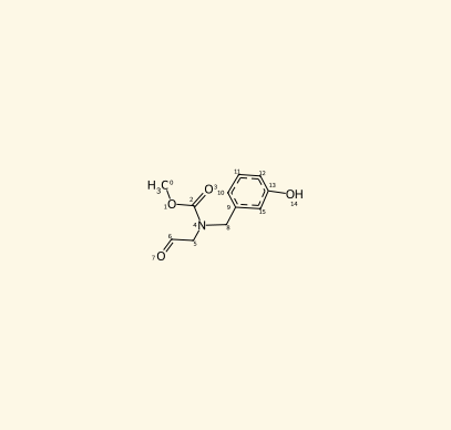 COC(=O)N(CC=O)Cc1cccc(O)c1